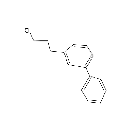 ClCCCc1cccc(-c2ccccc2)c1